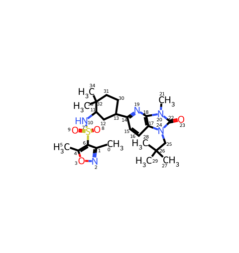 Cc1noc(C)c1S(=O)(=O)NC1CC(c2ccc3c(n2)n(C)c(=O)n3CC(C)(C)C)CCC1(C)C